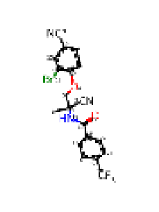 CC(C#N)(COc1ccc(C#N)cc1Br)NC(=O)c1ccc(C(F)(F)F)cc1